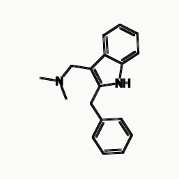 CN(C)Cc1c(Cc2ccccc2)[nH]c2ccccc12